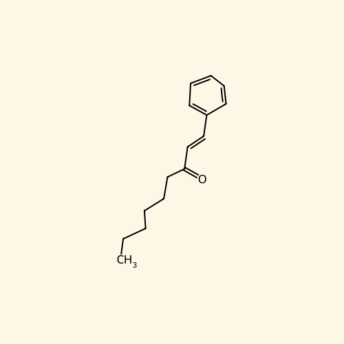 CCCCCCC(=O)/C=C/c1ccccc1